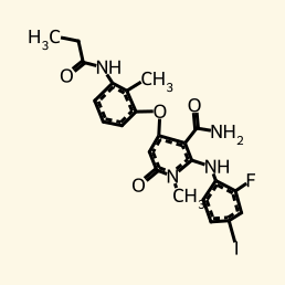 CCC(=O)Nc1cccc(Oc2cc(=O)n(C)c(Nc3ccc(I)cc3F)c2C(N)=O)c1C